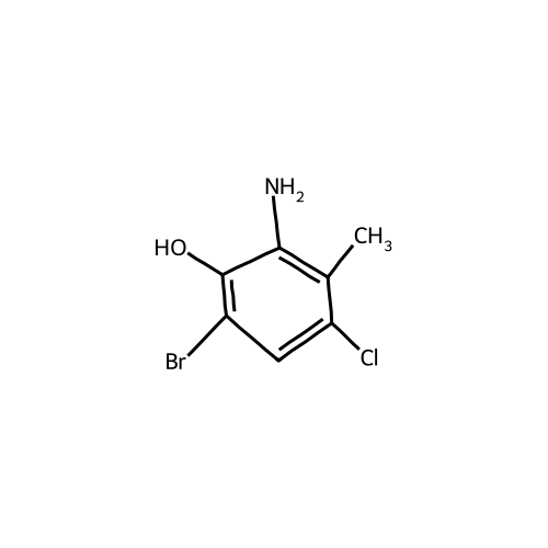 Cc1c(Cl)cc(Br)c(O)c1N